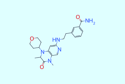 CC1C(=O)N(C)c2cnc(NCCc3cccc(C(N)=O)c3)cc2N1C1CCOCC1